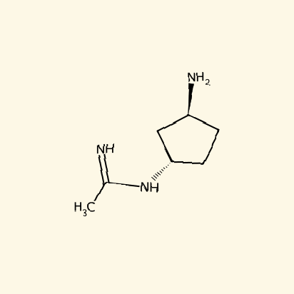 CC(=N)N[C@H]1CC[C@H](N)C1